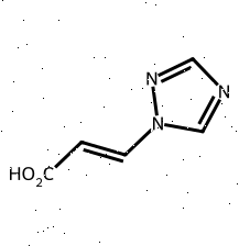 O=C(O)C=Cn1cncn1